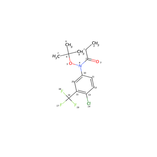 CCC(=O)N(OC(C)(C)C)c1ccc(Cl)c(C(F)(F)F)c1